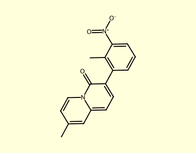 Cc1ccn2c(=O)c(-c3cccc([N+](=O)[O-])c3C)ccc2c1